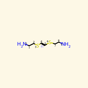 NCCS/C=C/SCCN